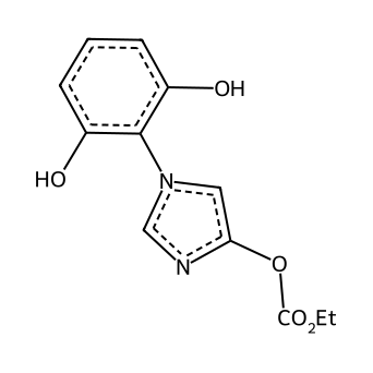 CCOC(=O)Oc1cn(-c2c(O)cccc2O)cn1